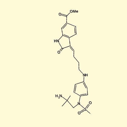 COC(=O)c1ccc2c(c1)NC(=O)C2=CCCCNc1ccc(N(CC(C)(C)N)S(C)(=O)=O)cc1